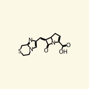 O=C(O)C1=CCC2C(=Cc3cn4c(n3)CSCC4)C(=O)N12